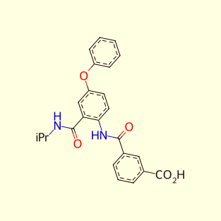 CC(C)NC(=O)c1cc(Oc2ccccc2)ccc1NC(=O)c1cccc(C(=O)O)c1